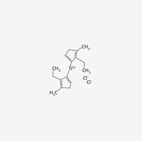 CCC1=C(C)CC=[C]1[Ti+2][C]1=CCC(C)=C1CC.[Cl-].[Cl-]